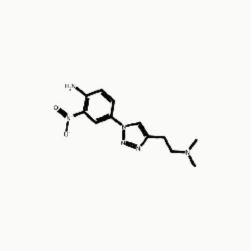 CN(C)CCc1cn(-c2ccc(N)c([N+](=O)[O-])c2)nn1